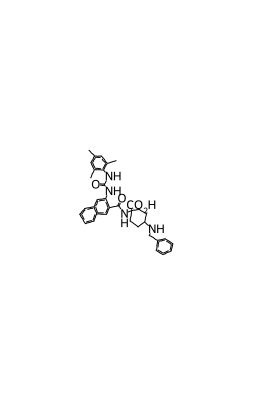 Cc1cc(C)c(NC(=O)Nc2cc3ccccc3cc2C(=O)NC2(C(=O)O)CCC(NCc3ccccc3)CC2)c(C)c1